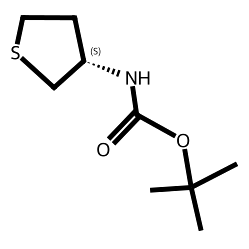 CC(C)(C)OC(=O)N[C@H]1CCSC1